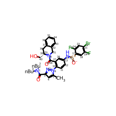 CCCCN(CCCC)C(=O)c1cc(C)n(-c2ccc(N[S+]([O-])c3cc(F)c(Br)cc3F)cc2C(=O)N2Cc3ccccc3C[C@H]2CO)n1